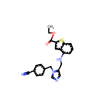 CCOC(=O)c1cc2c(NCc3cncn3Cc3ccc(C#N)cc3)cccc2s1